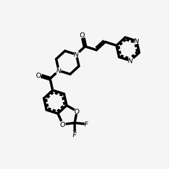 O=C(/C=C/c1cncnc1)N1CCN(C(=O)c2ccc3c(c2)OC(F)(F)O3)CC1